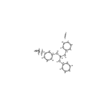 C=C.C=C.C=C.N.c1ccc(OB(Oc2ccccc2)Oc2ccccc2)cc1